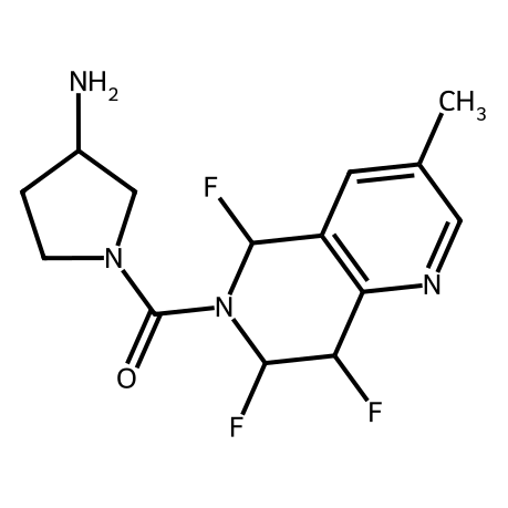 Cc1cnc2c(c1)C(F)N(C(=O)N1CCC(N)C1)C(F)C2F